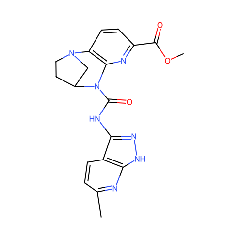 COC(=O)c1ccc2c(n1)N(C(=O)Nc1n[nH]c3nc(C)ccc13)C1CCN2C1